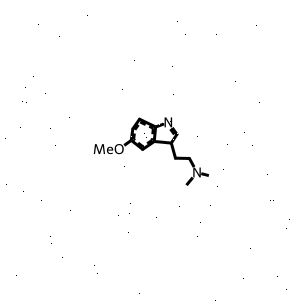 COc1ccc2c(c1)C(CCN(C)C)C=N2